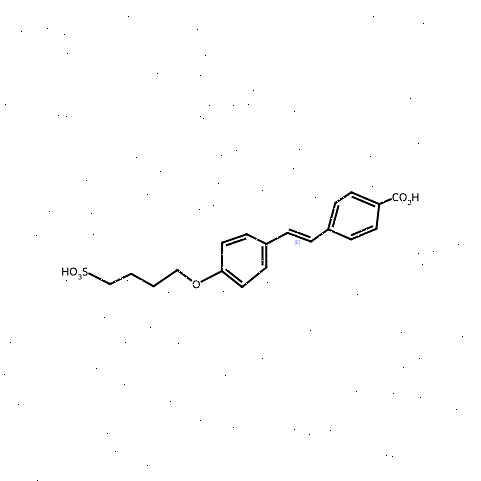 O=C(O)c1ccc(/C=C/c2ccc(OCCCCS(=O)(=O)O)cc2)cc1